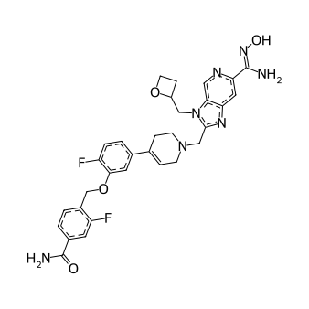 NC(=O)c1ccc(COc2cc(C3=CCN(Cc4nc5cc(C(N)=NO)ncc5n4CC4CCO4)CC3)ccc2F)c(F)c1